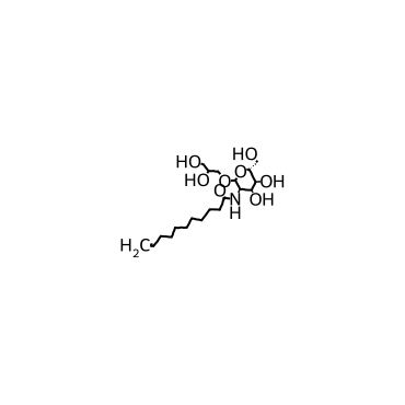 C=CCCCCCCCCC(=O)N[C@H]1C(OCC(O)CO)O[C@H](CO)[C@@H](O)[C@@H]1O